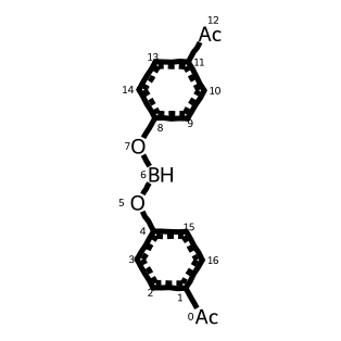 CC(=O)c1ccc(OBOc2ccc(C(C)=O)cc2)cc1